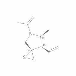 C=C[C@@H]1[C@H](C)N(C(=C)C)C[C@]12CS2